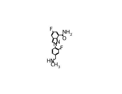 CNCc1ccc(-n2cc3cc(F)cc(C(N)=O)c3n2)c(F)c1